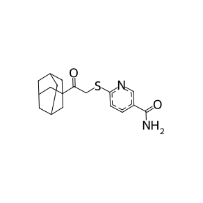 NC(=O)c1ccc(SCC(=O)C23CC4CC(CC(C4)C2)C3)nc1